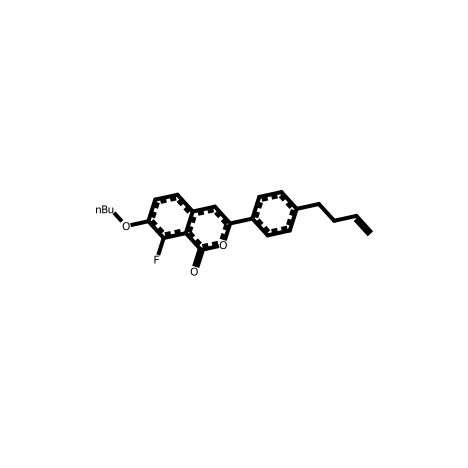 C=CCCc1ccc(-c2cc3ccc(OCCCC)c(F)c3c(=O)o2)cc1